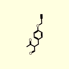 C#CCOc1ccc(CC(C=O)C(C)=O)cc1